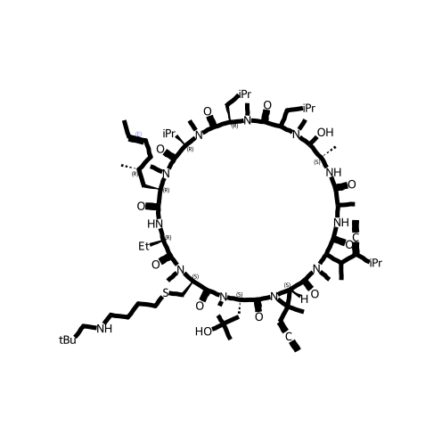 C=C=CC1(C)[C@H]2C(=O)N(C)C(C(C)C(=C=C)C(C)C)C(=O)NC(C)C(=O)N[C@@H](C)C(O)N(C)C(CC(C)C)C(=O)N(C)[C@H](CC(C)C)C(=O)N(C)[C@H](C(C)C)C(=O)N(C)[C@H](C[C@H](C)C/C=C/C)C(=O)N[C@H](CC)C(=O)N(C)[C@H](CSCCCCNCC(C)(C)C)C(=O)N(C)[C@@H](CC(C)(C)O)C(=O)N21